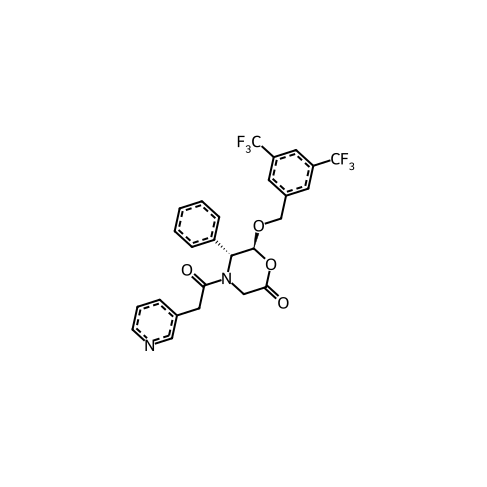 O=C1CN(C(=O)Cc2cccnc2)[C@H](c2ccccc2)[C@@H](OCc2cc(C(F)(F)F)cc(C(F)(F)F)c2)O1